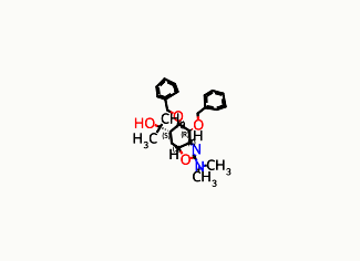 CN(C)C1=N[C@@H]2[C@@H](OCc3ccccc3)[C@H](OCc3ccccc3)[C@@H](C(C)(C)O)C[C@@H]2O1